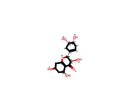 O=C1C2=C(CC(O)C[C@@H]2O)O[C@H](C2=CC[C@@H](O)[C@@H](O)C2)[C@H]1O